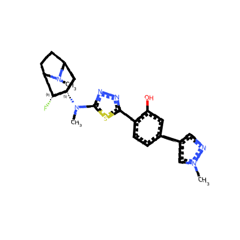 CN1C2CCC1[C@@H](F)[C@@H](N(C)c1nnc(-c3ccc(-c4cnn(C)c4)cc3O)s1)C2